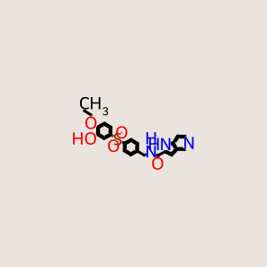 CCCOc1ccc(S(=O)(=O)c2ccc(CNC(=O)c3cc4cnccc4[nH]3)cc2)cc1O